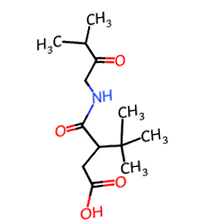 CC(C)C(=O)CNC(=O)C(CC(=O)O)C(C)(C)C